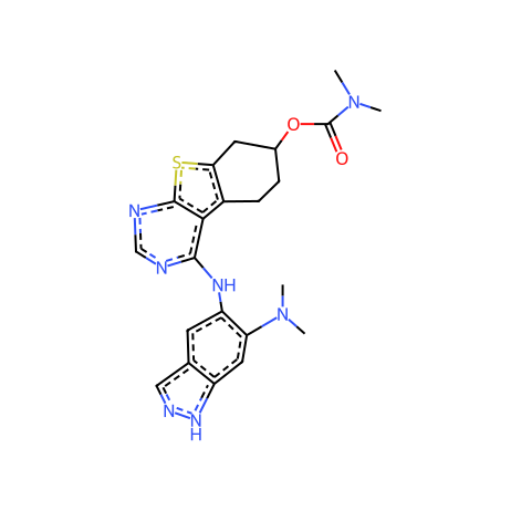 CN(C)C(=O)OC1CCc2c(sc3ncnc(Nc4cc5cn[nH]c5cc4N(C)C)c23)C1